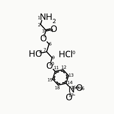 Cl.NCC(=O)OCC(O)COc1ccc([N+](=O)[O-])cc1